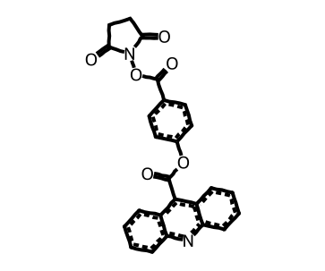 O=C(ON1C(=O)CCC1=O)c1ccc(OC(=O)c2c3ccccc3nc3ccccc23)cc1